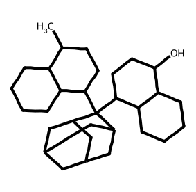 CC1CCC(C2(C3CCC(O)C4CCCCC43)C3CC4CC(C3)CC2C4)C2CCCCC12